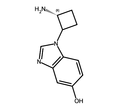 N[C@@H]1CCC1n1cnc2cc(O)ccc21